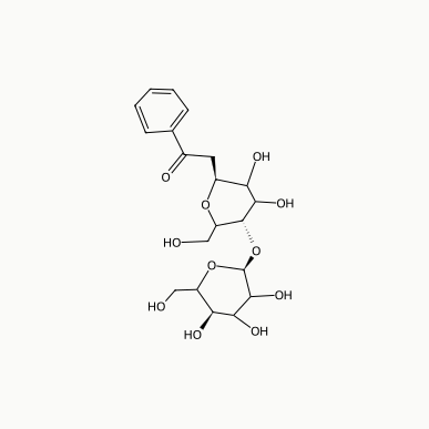 O=C(C[C@@H]1OC(CO)[C@@H](O[C@@H]2OC(CO)[C@H](O)C(O)C2O)C(O)C1O)c1ccccc1